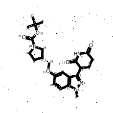 Cn1nc(C2CCC(=O)NC2=O)c2cc(OC[C@@H]3CCN(C(=O)OC(C)(C)C)C3)ccc21